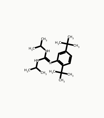 CC(C)NC(=Nc1cc(C(C)(C)C)ccc1C(C)(C)C)NC(C)C